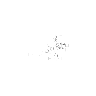 C=C(C)C(=O)OCCCc1cc(-c2ccc(C3CCC(CCCCC)CC3)cc2F)c(CC)cc1OCC(COC(=O)CC(C)=O)(COC(=O)CC(C)=O)COC(=O)C(=C)C